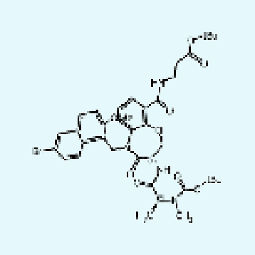 COc1ccc2cc(Br)ccc2c1CN1C(=O)[C@@H](NC(=O)[C@H](C)N(C)C(=O)OC(C)(C)C)COc2c(C(=O)NCCC(=O)OC(C)(C)C)cccc21